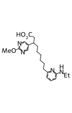 CCNc1cccc(CCCCCCC(CC(=O)O)c2cnc(OC)nc2)n1